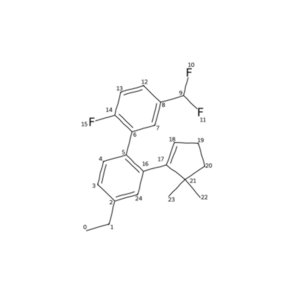 CCc1ccc(-c2cc(C(F)F)ccc2F)c(C2=CCCC2(C)C)c1